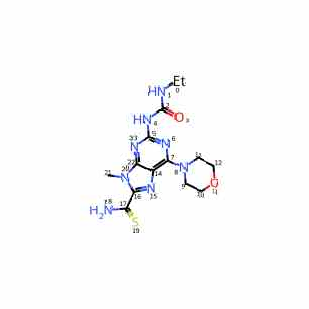 CCNC(=O)Nc1nc(N2CCOCC2)c2nc(C(N)=S)n(C)c2n1